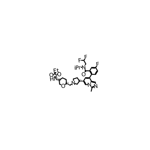 CCS(=O)(=O)N[C@@H]1CC[C@@H](CN2CC[C@@H](c3cc(-c4ccc(F)cc4C(=O)N(CC(F)F)C(C)C)c4cnc(C)n4c3)C2)OC1